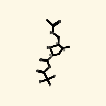 CC(=O)NC[C@@H]1N[C@@H](C(=O)OC(=O)C(F)(F)F)C[C@@H]1C